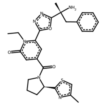 CCn1c(-c2nnc([C@](C)(N)Cc3ccccc3)o2)cc(C(=O)N2CCC[C@@H]2c2nc(C)cs2)cc1=O